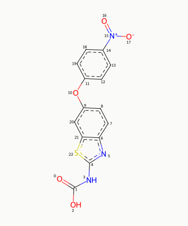 O=C(O)Nc1nc2ccc(Oc3ccc([N+](=O)[O-])cc3)cc2s1